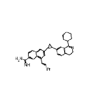 CC(C)/C=C/c1cc(C2CC2c2ccc3c(c2)C(C2CCCCC2)=NCC3)cc2ccc(C(=N)N)cc12